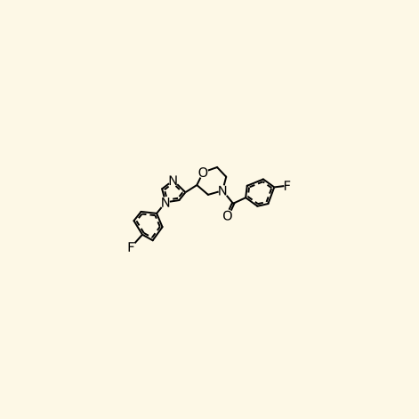 O=C(c1ccc(F)cc1)N1CCOC(c2cn(-c3ccc(F)cc3)cn2)C1